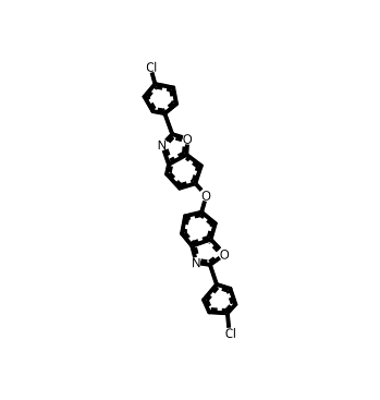 Clc1ccc(-c2nc3ccc(Oc4ccc5nc(-c6ccc(Cl)cc6)oc5c4)cc3o2)cc1